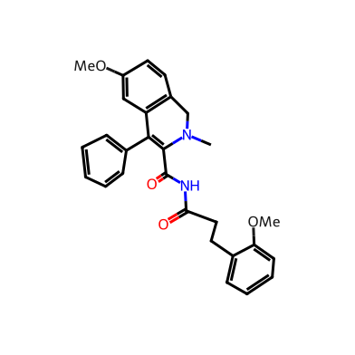 COc1ccc2c(c1)C(c1ccccc1)=C(C(=O)NC(=O)CCc1ccccc1OC)N(C)C2